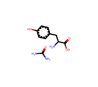 NC(Cc1ccc(O)cc1)C(=O)O.NC(N)=O